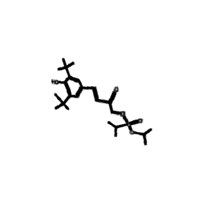 CC(C)OP(=O)(OCC(=O)C=Cc1cc(C(C)(C)C)c(O)c(C(C)(C)C)c1)C(C)C